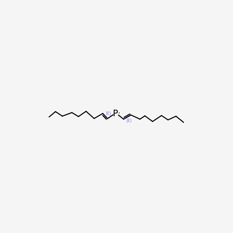 CCCCCCC/C=C/[P]/C=C/CCCCCCC